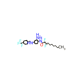 CCCCCCC[C@H](F)[C@@H](F)C(=O)Nc1ccc(NCc2ccc(C(F)(F)F)cc2)cc1N